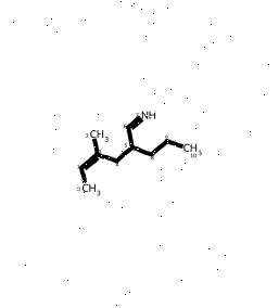 C/C=C(/C)CC(C=N)CCC